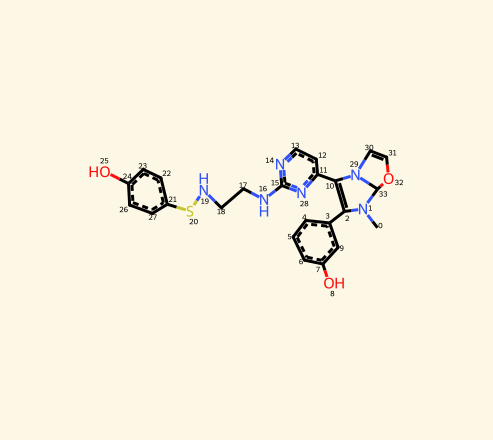 CN1C(c2cccc(O)c2)=C(c2ccnc(NCCNSc3ccc(O)cc3)n2)N2C=COC12